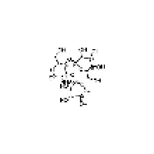 CC(=O)NC1[C@H](C)OC(CO)[C@@H](O[C@@H]2OC(CO)[C@H](O)[C@H](O)C2O)[C@@H]1O[C@@H]1OC(C)[C@@H](O)[C@H](O)C1O